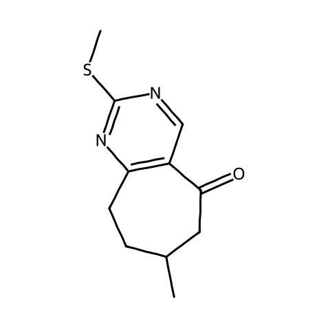 CSc1ncc2c(n1)CCC(C)CC2=O